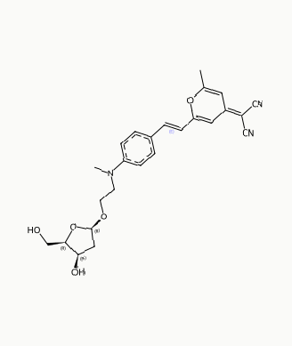 CC1=CC(=C(C#N)C#N)C=C(/C=C/c2ccc(N(C)CCO[C@H]3C[C@@H](O)[C@@H](CO)O3)cc2)O1